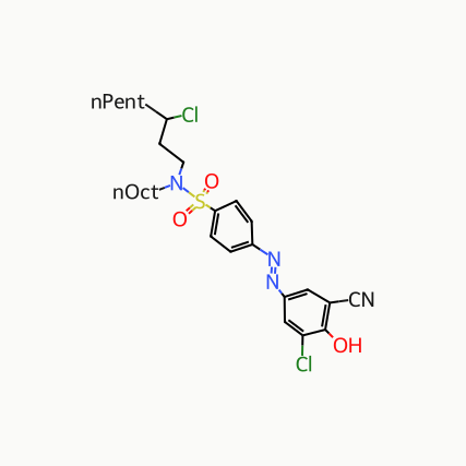 CCCCCCCCN(CCC(Cl)CCCCC)S(=O)(=O)c1ccc(N=Nc2cc(Cl)c(O)c(C#N)c2)cc1